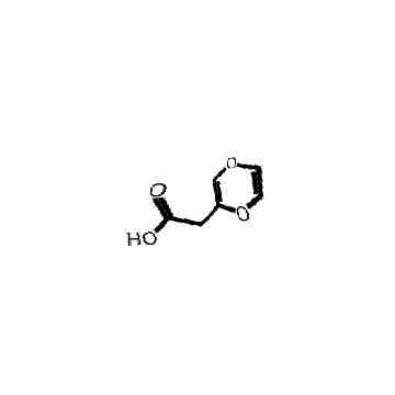 O=C(O)CC1=COC=CO1